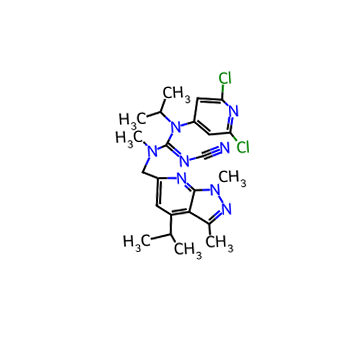 Cc1nn(C)c2nc(CN(C)/C(=N/C#N)N(c3cc(Cl)nc(Cl)c3)C(C)C)cc(C(C)C)c12